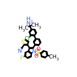 Cc1ccc(S(=O)(=O)n2c(-c3cccc(-c4ccc(C(C)(C)N)cc4Cl)c3)c(-c3ccsc3C#N)c3cc(F)ccc32)cc1